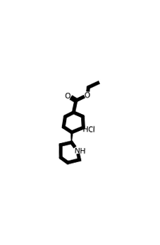 CCOC(=O)C1CCC([C@@H]2CCCCN2)CC1.Cl